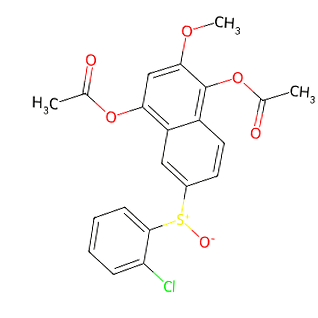 COc1cc(OC(C)=O)c2cc([S+]([O-])c3ccccc3Cl)ccc2c1OC(C)=O